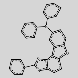 c1ccc(-c2nc3ccc4oc5ccc(N(c6ccccc6)c6ccccc6)cc5c4c3s2)cc1